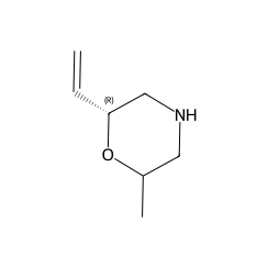 C=C[C@@H]1CNCC(C)O1